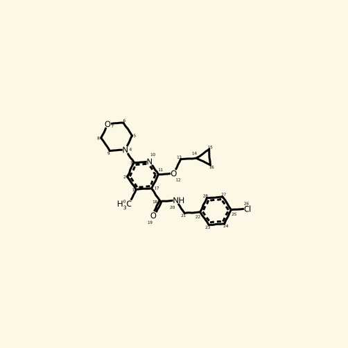 Cc1cc(N2CCOCC2)nc(OCC2CC2)c1C(=O)NCc1ccc(Cl)cc1